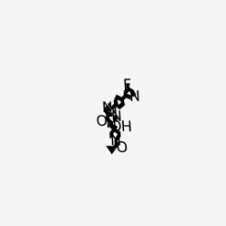 O=C(C1CC1)N1CCC(O)(Cn2cnc3c(cnn3-c3ccc(-c4cncc(F)c4)cc3)c2=O)CC1